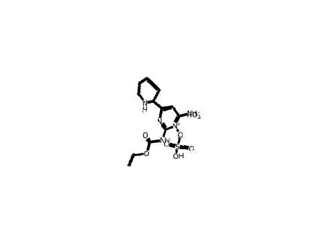 CCOC(=O)Nc1nc(C2C=CCCN2)cc(N)[n+]1OS(=O)(=O)O.[OH-]